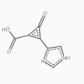 O=C(O)c1c(-c2c[nH]cn2)c1=O